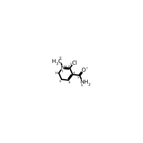 C[N+]1=C(Cl)C(C(N)=O)=CCC1